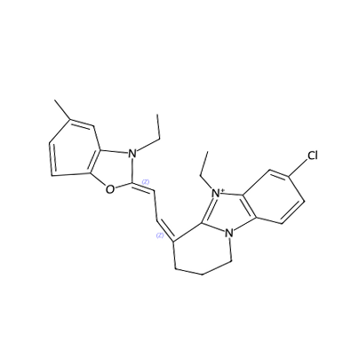 CCN1/C(=C/C=C2/CCCn3c2[n+](CC)c2cc(Cl)ccc23)Oc2ccc(C)cc21